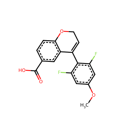 COc1cc(F)c(C2=CCOc3ccc(C(=O)O)cc32)c(F)c1